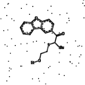 CCOCCSC(C(=O)c1ccc2oc3ccccc3c2c1)C(C)(C)C